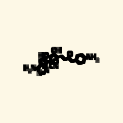 N#C[C@@]1(c2ccc3c(N)ncnn23)O[C@H](CCC(=O)CC2CCC(N)CC2)[C@@H](O)[C@H]1O